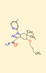 CCCCOC1Cc2c(C(N)=O)nn(-c3cc(I)ccn3)c2CC1(C)C